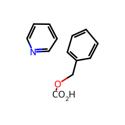 O=C(O)OCc1ccccc1.c1ccncc1